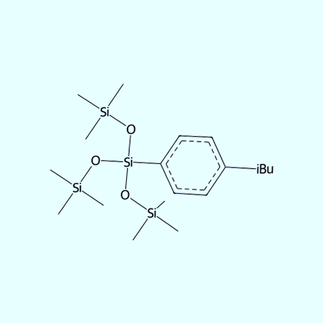 CCC(C)c1ccc([Si](O[Si](C)(C)C)(O[Si](C)(C)C)O[Si](C)(C)C)cc1